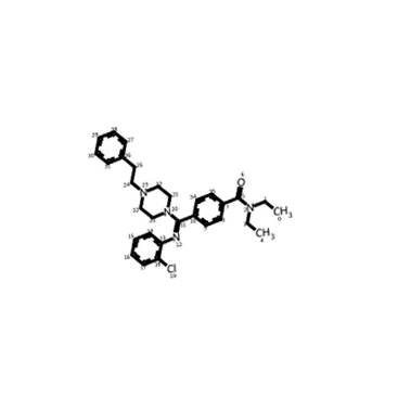 CCN(CC)C(=O)c1ccc(/C(=N/c2ccccc2Cl)N2CCN(CCc3ccccc3)CC2)cc1